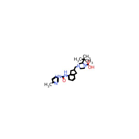 Cc1ccc(NC(=O)Nc2cccc3c2CC(CN2CCN(C(=O)O)C(C(C)(C)C)C2)C3)cn1